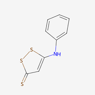 S=c1cc(Nc2ccccc2)ss1